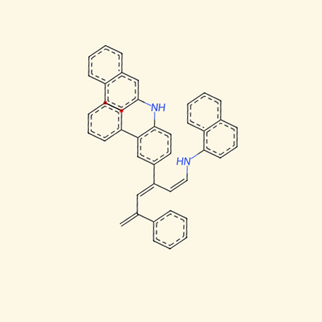 C=C(/C=C(\C=C/Nc1cccc2ccccc12)c1ccc(Nc2ccc3ccccc3c2)c(-c2ccccc2)c1)c1ccccc1